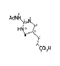 CC(=O)NC1=NCC(CCC(=O)O)CN1